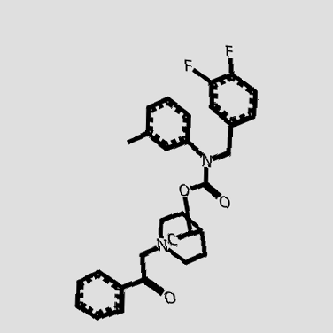 Cc1cccc(N(Cc2ccc(F)c(F)c2)C(=O)OC2C[N+]3(CC(=O)c4ccccc4)CCC2CC3)c1